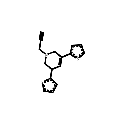 C#CCN1CC(c2cccs2)=CC(c2cccs2)C1